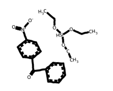 CCO[SiH](OCC)OCC.O=C(c1ccccc1)c1ccc([N+](=O)[O-])cc1